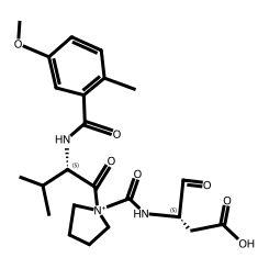 COc1ccc(C)c(C(=O)N[C@H](C(=O)[N+]2(C(=O)N[C@H](C=O)CC(=O)O)CCCC2)C(C)C)c1